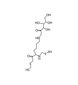 O=C(CSCS)C(CCCCNCC(=O)C(O)C(O)C(O)CO)NCSS